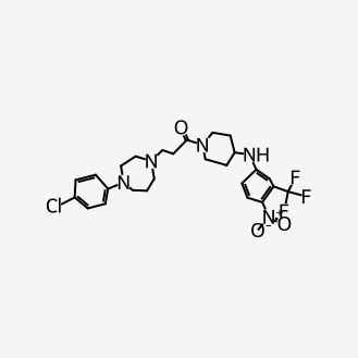 O=C(CCN1CCCN(c2ccc(Cl)cc2)CC1)N1CCC(Nc2ccc([N+](=O)[O-])c(C(F)(F)F)c2)CC1